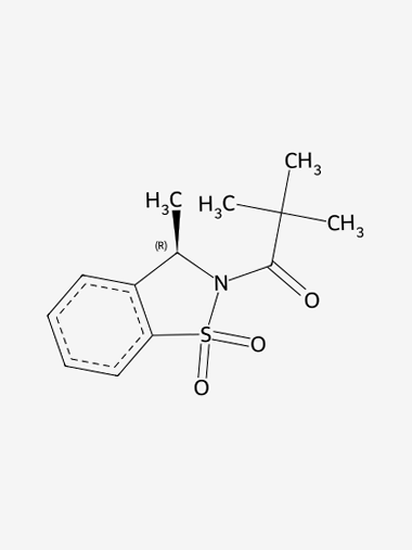 C[C@@H]1c2ccccc2S(=O)(=O)N1C(=O)C(C)(C)C